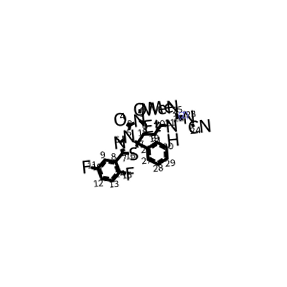 CCN(OC)C(=O)N1N=C(c2cc(F)ccc2F)SC1(CCCN/C(=N\C#N)NC)c1ccccc1